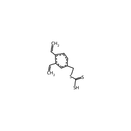 C=Cc1ccc(CSC(=S)S)cc1C=C